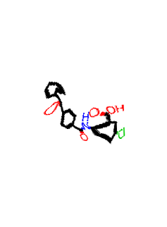 O=C(Nc1ccc(Cl)cc1C(=O)O)c1ccc(C(=O)c2ccccc2)cc1